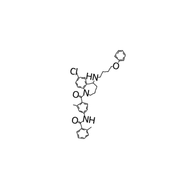 Cc1ccccc1C(=O)Nc1ccc(C(=O)N2CCCC(NCCCCOc3ccccc3)c3cc(Cl)ccc32)c(C)c1